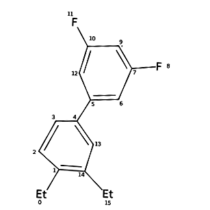 CCc1ccc(-c2cc(F)[c]c(F)c2)cc1CC